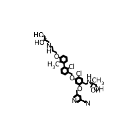 Cc1c(OCCCNC[C@H](O)CO)cccc1-c1cccc(COc2cc(OCc3cncc(C#N)c3)c(CNC(C)(CO)CO)cc2Cl)c1Cl